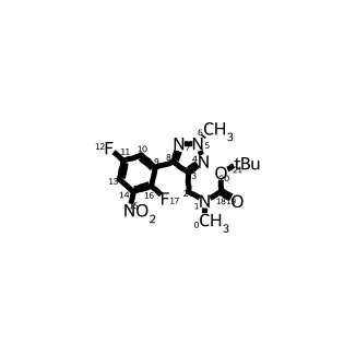 CN(Cc1nn(C)nc1-c1cc(F)cc([N+](=O)[O-])c1F)C(=O)OC(C)(C)C